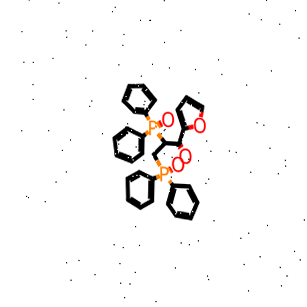 O=C(c1ccco1)C(CP(=O)(c1ccccc1)c1ccccc1)P(=O)(c1ccccc1)c1ccccc1